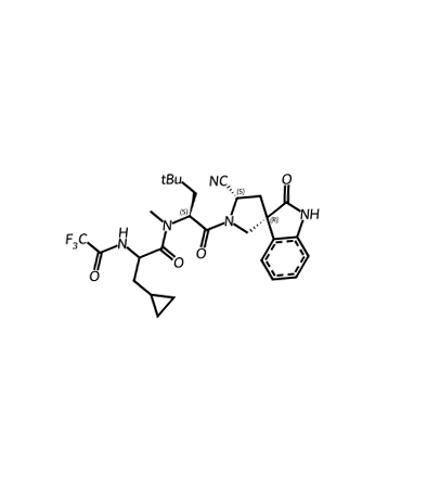 CN(C(=O)C(CC1CC1)NC(=O)C(F)(F)F)[C@@H](CC(C)(C)C)C(=O)N1C[C@]2(C[C@H]1C#N)C(=O)Nc1ccccc12